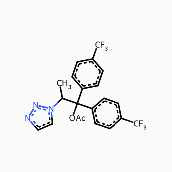 CC(=O)OC(c1ccc(C(F)(F)F)cc1)(c1ccc(C(F)(F)F)cc1)C(C)n1ccnn1